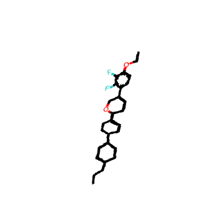 CCCC1CCC(C2CC=C(C3CCC(c4ccc(OCC)c(F)c4F)CO3)CC2)CC1